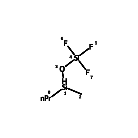 CCC[SiH](C)O[Si](F)(F)F